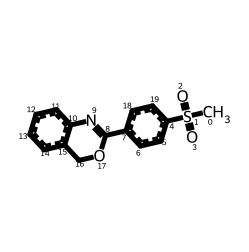 CS(=O)(=O)c1ccc(C2=Nc3ccccc3CO2)cc1